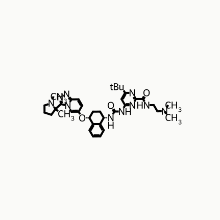 CN(C)CCNC(=O)c1nc(NC(=O)N[C@H]2CC[C@@H](Oc3ccc4nnc(C5(C)CCCN5C)n4c3)c3ccccc32)cc(C(C)(C)C)n1